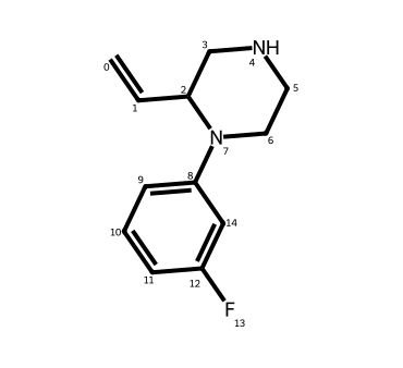 C=CC1CNCCN1c1cccc(F)c1